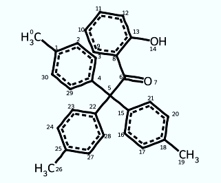 Cc1ccc(C(C(=O)c2ccccc2O)(c2ccc(C)cc2)c2ccc(C)cc2)cc1